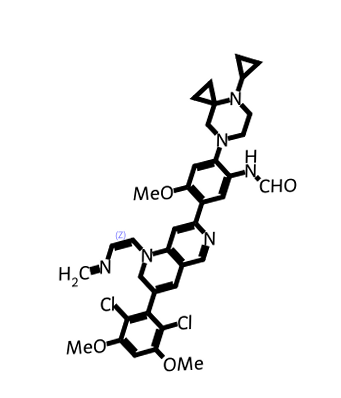 C=N/C=C\N1CC(c2c(Cl)c(OC)cc(OC)c2Cl)=Cc2cnc(-c3cc(NC=O)c(N4CCN(C5CC5)C5(CC5)C4)cc3OC)cc21